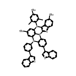 Cc1cc(C(C)(C)C)cc(C)c1N1c2cc(C(C)(C)C)cc3c2B(c2ccc(-c4csc5ccccc45)cc2N3c2cccc(-c3csc4ccccc34)c2)c2sc3ccc(C(C)(C)C)cc3c21